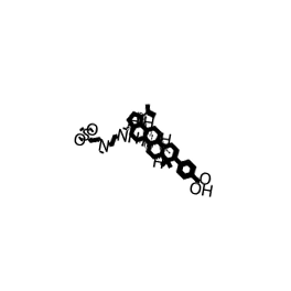 C=C(C)[C@@H]1CC[C@]2(CNCCN(C)CCS(C)(=O)=O)CC[C@]3(C)[C@H](CC[C@@H]4[C@@]5(C)CC=C(c6ccc(C(=O)O)cc6)C(C)(C)[C@@H]5CC[C@]43C)[C@@H]12